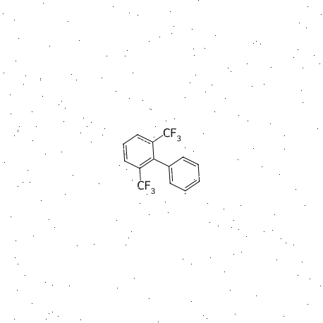 FC(F)(F)c1cccc(C(F)(F)F)c1-c1c[c]ccc1